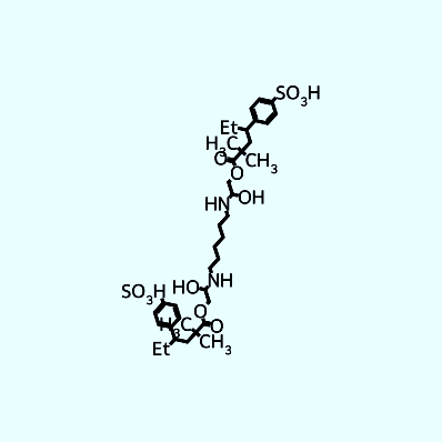 CCC(CC(C)(C)C(=O)OCC(O)NCCCCCCNC(O)COC(=O)C(C)(C)CC(CC)c1ccc(S(=O)(=O)O)cc1)c1ccc(S(=O)(=O)O)cc1